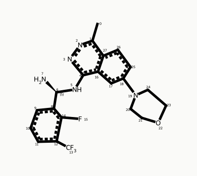 Cc1nnc(N[C@H](N)c2cccc(C(F)(F)F)c2F)c2cc(N3CCOCC3)ccc12